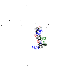 Cl.NCc1cc(Oc2cccc(C(=O)NCC3CCC(=O)N3)c2)nc(C(F)(F)F)c1